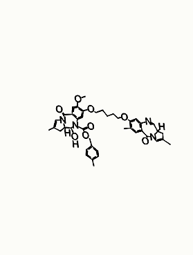 COc1cc2c(cc1OCCCCCOc1cc3c(cc1C)C(=O)N1C=C(C)C[C@H]1C=N3)N(C(=O)OCc1ccc(C)cc1)[C@@H](O)[C@@H]1CC(C)=CN1C2=O